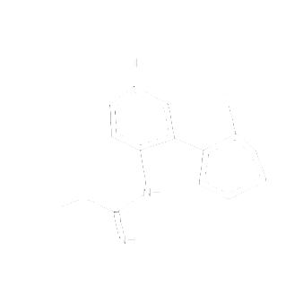 CSC(=N)Nc1ccccc1-c1ccccc1F.I